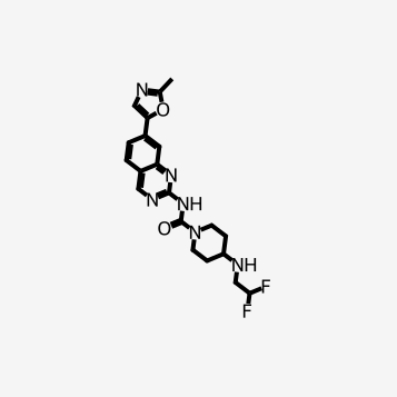 Cc1ncc(-c2ccc3cnc(NC(=O)N4CCC(NCC(F)F)CC4)nc3c2)o1